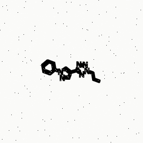 CCCn1nnc(-c2cnn(-c3ccccc3)c2)n1